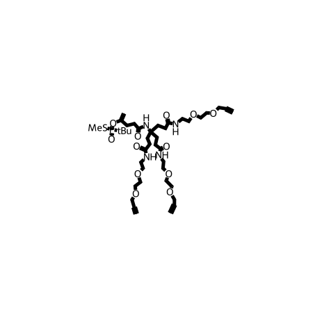 C#CCOCCOCCNC(=O)CCC(CCC(=O)NCCOCCOCC#C)(CCC(=O)NCCOCCOCC#C)NC(=O)CCC(=C)OP(=O)(SC)C(C)(C)C